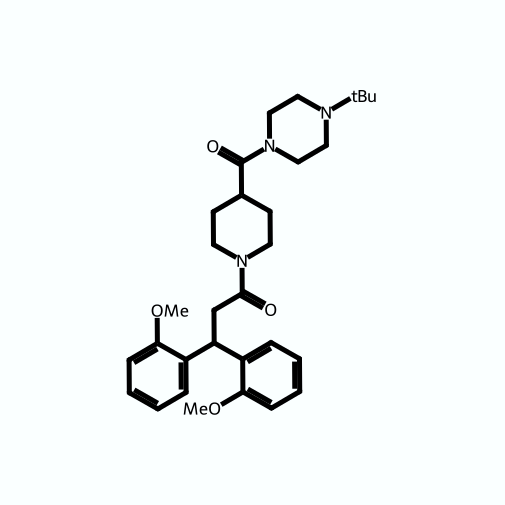 COc1ccccc1C(CC(=O)N1CCC(C(=O)N2CCN(C(C)(C)C)CC2)CC1)c1ccccc1OC